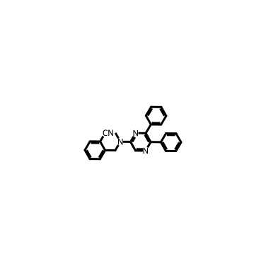 CN(Cc1ccccc1C#N)c1cnc(-c2ccccc2)c(-c2ccccc2)n1